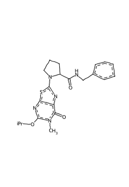 CC(C)Oc1nc2sc(N3CCCC3C(=O)NCc3ccccc3)nc2c(=O)n1C